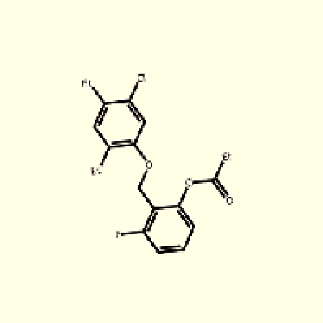 CCC(=O)Oc1cccc(F)c1COc1cc(Cl)c(CC)cc1CC